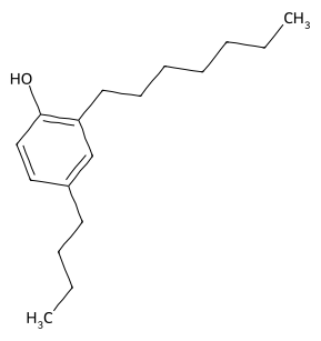 CCCCCCCc1cc(CCCC)ccc1O